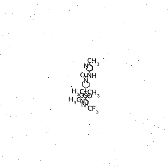 Cc1ccc(NC(=O)N2CCC(C(C)(C)S(=O)(=O)c3cc(C(F)(F)F)nn3C)CC2)cn1